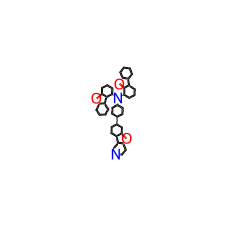 c1ccc2c(c1)oc1c(N(c3ccc(-c4ccc5c(c4)oc4ccncc45)cc3)c3cccc4oc5ccccc5c34)cccc12